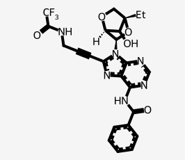 CC[C@]12CO[C@@H](C1O)[C@H](n1c(C#CCNC(=O)C(F)(F)F)nc3c(NC(=O)c4ccccc4)ncnc31)O2